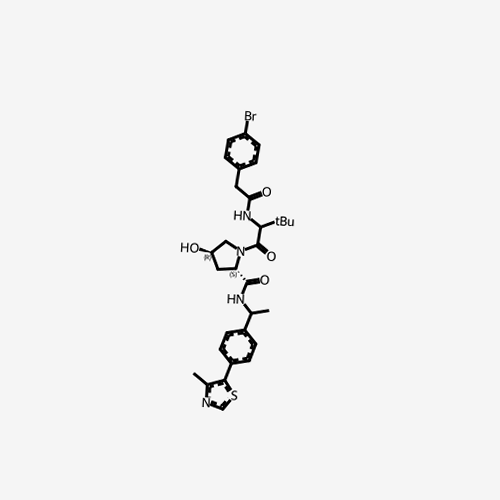 Cc1ncsc1-c1ccc(C(C)NC(=O)[C@@H]2C[C@@H](O)CN2C(=O)C(NC(=O)Cc2ccc(Br)cc2)C(C)(C)C)cc1